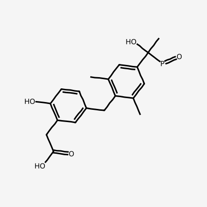 Cc1cc(C(C)(O)P=O)cc(C)c1Cc1ccc(O)c(CC(=O)O)c1